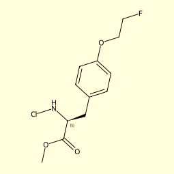 COC(=O)[C@H](Cc1ccc(OCCF)cc1)NCl